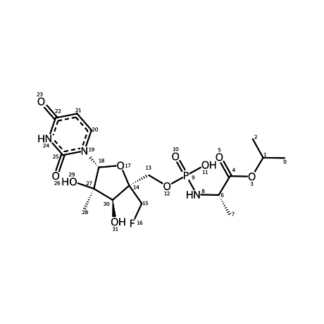 CC(C)OC(=O)[C@H](C)NP(=O)(O)OC[C@@]1(CF)O[C@@H](n2ccc(=O)[nH]c2=O)[C@](C)(O)[C@@H]1O